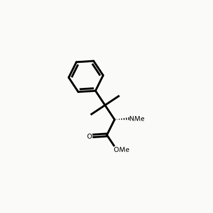 CN[C@H](C(=O)OC)C(C)(C)c1ccccc1